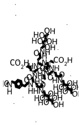 C[C@@H](CS)NC(=O)[C@H](CCC(=O)NC[C@H](O)[C@@H](O)[C@H](O)[C@H](O)CO)NC(=O)[C@@H](CCC(=O)O)NC(=O)[C@H](CCC(=O)NC[C@H](O)[C@@H](O)[C@H](O)[C@H](O)CO)NC(=O)[C@@H](CCCC(=O)O)NC(=O)[C@H](CCC(=O)NC[C@H](O)[C@@H](O)[C@H](O)[C@H](O)CO)NC(=O)Cc1ccc(CNC=O)cc1